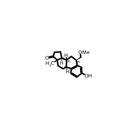 COC[C@@H]1C[C@@H]2[C@H](CC[C@]3(C)C(=O)CC[C@@H]23)c2ccc(O)cc21